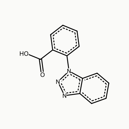 O=C(O)c1ccccc1-n1nnc2ccccc21